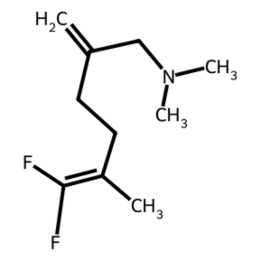 C=C(CCC(C)=C(F)F)CN(C)C